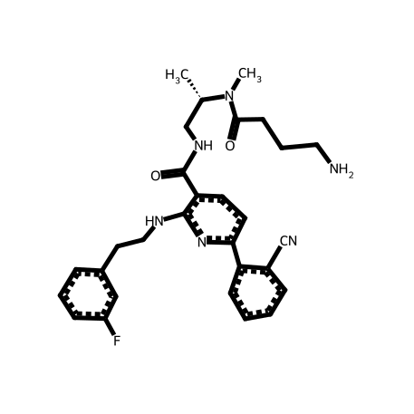 C[C@@H](CNC(=O)c1ccc(-c2ccccc2C#N)nc1NCCc1cccc(F)c1)N(C)C(=O)CCCN